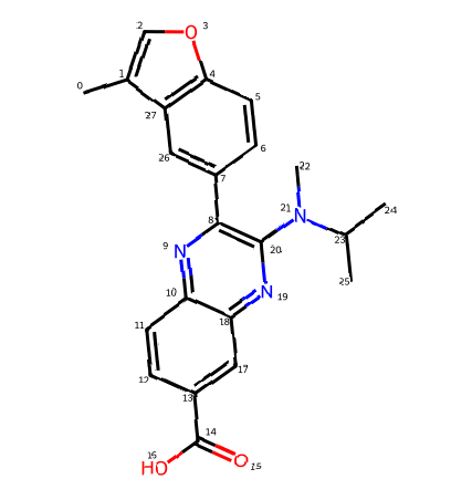 Cc1coc2ccc(-c3nc4ccc(C(=O)O)cc4nc3N(C)C(C)C)cc12